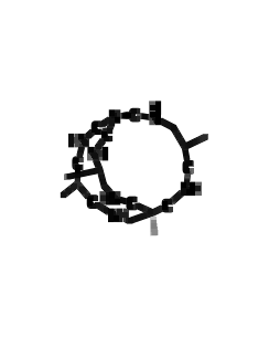 CC1CNC[N@]2CNCC(C)CNC[C@](C)(CNC1)CNCC(C)NC2